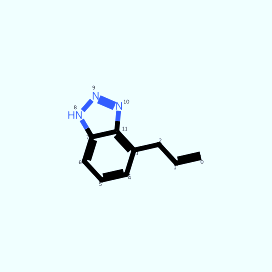 C=CCc1[c]ccc2[nH]nnc12